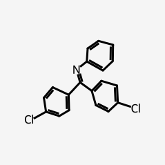 Clc1ccc(C(=Nc2ccccc2)c2ccc(Cl)cc2)cc1